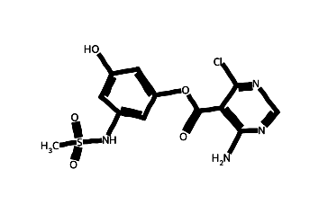 CS(=O)(=O)Nc1cc(O)cc(OC(=O)c2c(N)ncnc2Cl)c1